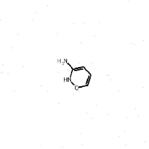 NC1=CC=CON1